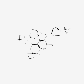 CC(C)(C)[Si](C)(C)O[C@H]1CC2(CCC2)Cc2nc(Cl)c3c(c21)C1(CCOCC1)O[C@@H]3c1ccc(C(F)(F)F)cc1